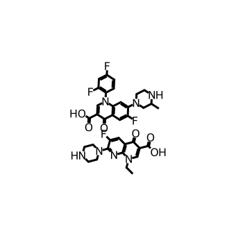 CC1CN(c2cc3c(cc2F)c(=O)c(C(=O)O)cn3-c2ccc(F)cc2F)CCN1.CCn1cc(C(=O)O)c(=O)c2cc(F)c(N3CCNCC3)nc21